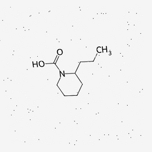 CCCC1CCCCN1C(=O)O